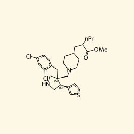 CCCC(CC1CCN(C[C@]2(Cc3ccc(Cl)cc3Cl)CNC[C@@H]2c2ccsc2)CC1)C(=O)OC